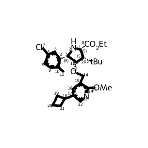 CCOC(=O)[C@H]1N[C@@H](c2cc(Cl)ccc2C)[C@@H](OCc2cc(C3CCC3)cnc2OC)[C@H]1C(C)(C)C